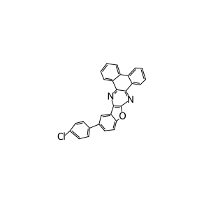 Clc1ccc(-c2ccc3oc4nc5c6ccccc6c6ccccc6c5nc4c3c2)cc1